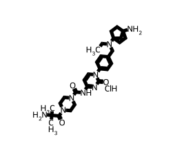 CCN(Cc1ccc(-n2ccc(NC(=O)N3CCN(C(=O)C(C)(C)N)CC3)nc2=O)cc1)C12CCC(N)(CC1)C2.Cl